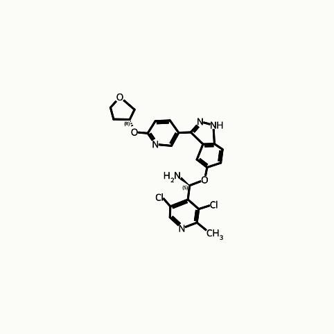 Cc1ncc(Cl)c([C@@H](N)Oc2ccc3[nH]nc(-c4ccc(O[C@@H]5CCOC5)nc4)c3c2)c1Cl